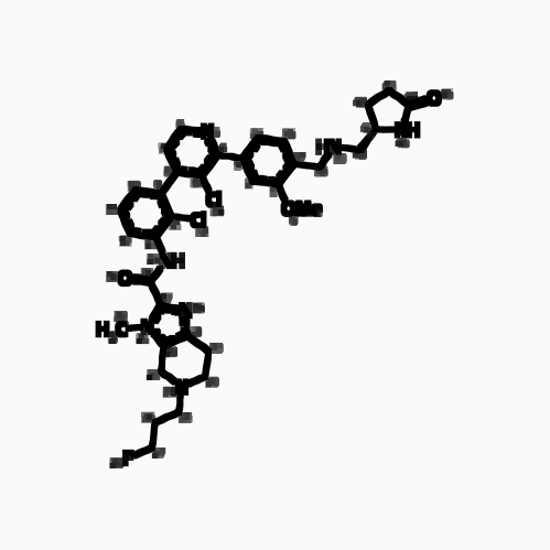 COc1cc(-c2nccc(-c3cccc(NC(=O)c4nc5c(n4C)CN(CCCF)CC5)c3Cl)c2Cl)ccc1CNC[C@H]1CCC(=O)N1